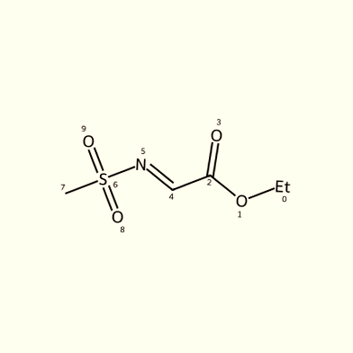 CCOC(=O)C=NS(C)(=O)=O